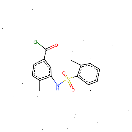 Cc1ccc(C(=O)Cl)cc1NS(=O)(=O)c1ccccc1C